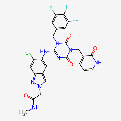 CNC(=O)Cn1cc2cc(Nc3nc(=O)n(Cc4ccc[nH]c4=O)c(=O)n3Cc3cc(F)c(F)c(F)c3)c(Cl)cc2n1